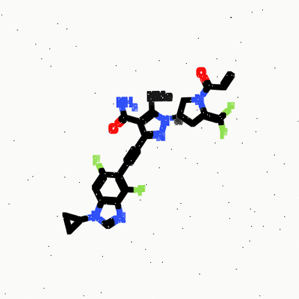 C=CC(=O)N1C[C@@H](n2nc(C#Cc3c(F)cc4c(ncn4C4CC4)c3F)c(C(N)=O)c2NC)CC1=C(F)F